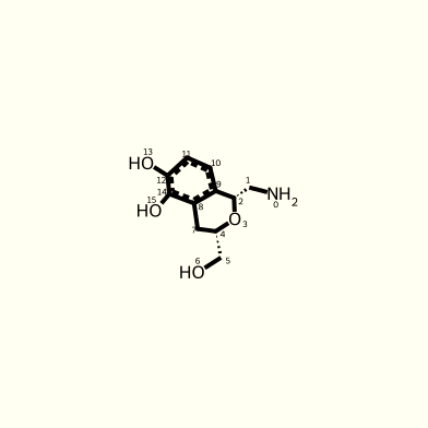 NC[C@@H]1O[C@H](CO)Cc2c1ccc(O)c2O